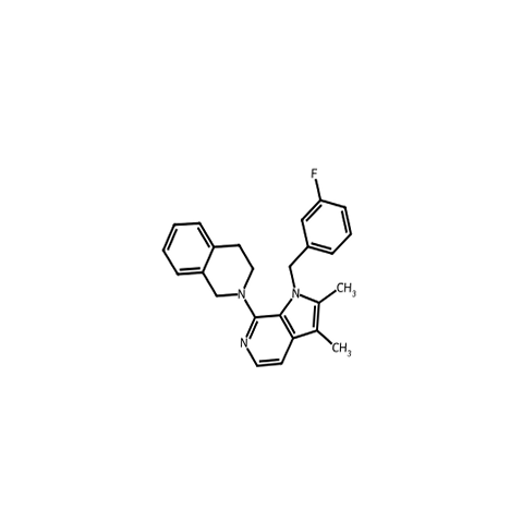 Cc1c(C)n(Cc2cccc(F)c2)c2c(N3CCc4ccccc4C3)nccc12